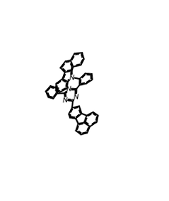 c1ccc(-c2nc(-c3ccc4c(c3)-c3cccc5cccc-4c35)nc(-c3ccccc3-n3c4ccccc4c4ccc5ccccc5c43)n2)cc1